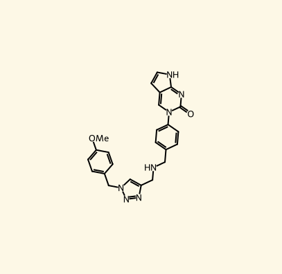 COc1ccc(Cn2cc(CNCc3ccc(-n4cc5cc[nH]c5nc4=O)cc3)nn2)cc1